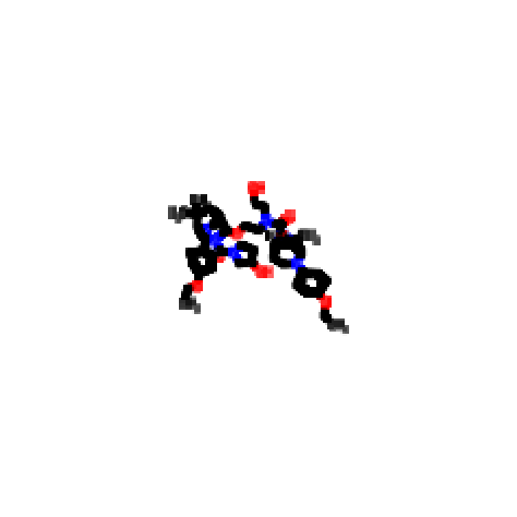 CCOc1ccc(N2CC3CN(C(=O)N(CCO)CCOC4C5CN(c6ccc(OCC)cc6)C(CN4C(=O)N4CCC(O)C4)C(C)(C)C5)CC2C(C)(C)C3)cc1